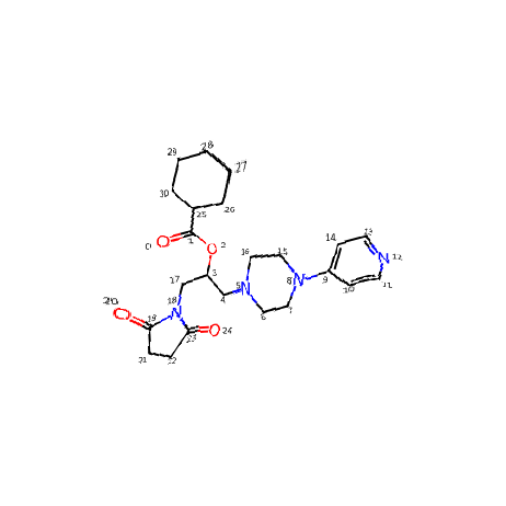 O=C(OC(CN1CCN(c2ccncc2)CC1)CN1C(=O)CCC1=O)C1CCCCC1